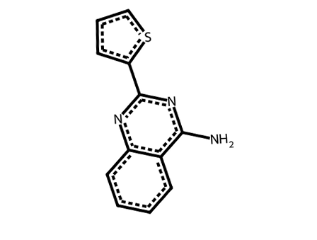 Nc1nc(-c2cccs2)nc2ccccc12